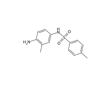 Cc1ccc(S(=O)(=O)Nc2ccc(N)c(C)c2)cc1